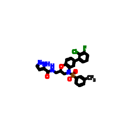 O=C(NCC1CN(S(=O)(=O)c2cccc(C(F)(F)F)c2)c2cc(-c3cccc(F)c3Cl)ccc2O1)c1ccn[nH]1